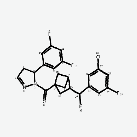 O=C(N1N=CCC1c1cc(F)cc(F)c1)C12CC(C1)C(C(F)c1cc(F)cc(Cl)c1)C2